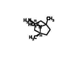 CC12CC[C@](C)(C[C@@H](N)C1)N2C(=O)O